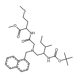 CCC(C)C(CN(CC(=O)NC(CCSC)C(=O)OC)Cc1cccc2ccccc12)NC(=O)OC(C)(C)C